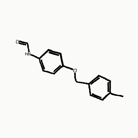 Cc1ccc(COc2ccc(NC=O)cc2)cc1